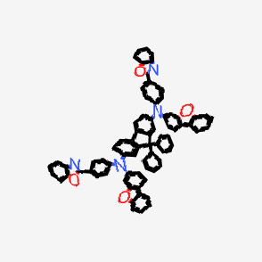 c1ccc(C2(c3ccccc3)c3cc(N(c4ccc(-c5nc6ccccc6o5)cc4)c4ccc5c(c4)oc4ccccc45)ccc3-c3ccc(N(c4ccc(-c5nc6ccccc6o5)cc4)c4ccc5c(c4)oc4ccccc45)cc32)cc1